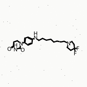 O=C1CCN(c2ccc(NCCCCCCCCN3CCC(F)(F)CC3)cc2)C(=O)N1